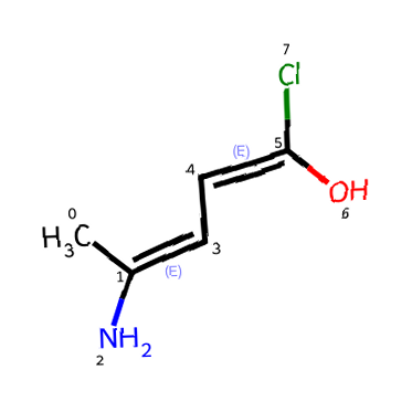 C/C(N)=C\C=C(/O)Cl